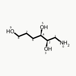 NC[C@@H](O)[C@H](O)CCCO